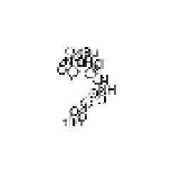 Cc1c(-c2cc3cc(NC(=O)OC4CCN(C(=O)OC(C)(C)C)CC4F)ncc3c(Cl)c2F)cnc2c1N(C(=O)OC(C)(C)C)CCO2